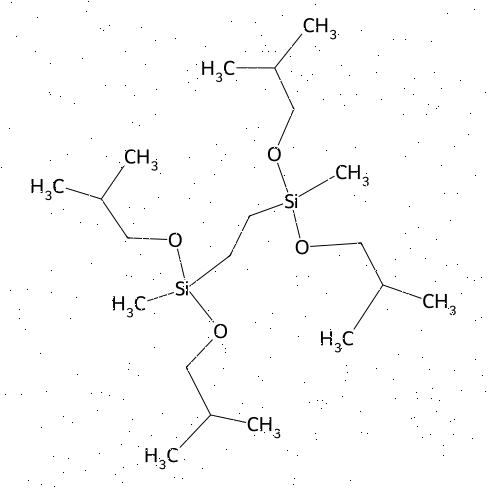 CC(C)CO[Si](C)(CC[Si](C)(OCC(C)C)OCC(C)C)OCC(C)C